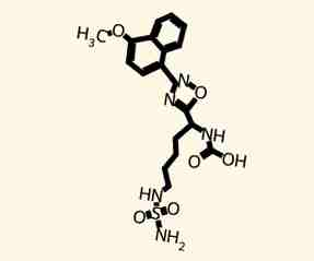 COc1ccc(-c2noc(C(CCCCNS(N)(=O)=O)NC(=O)O)n2)c2ccccc12